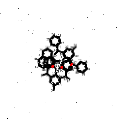 Cc1cc(C(C)c2ccccc2)c(N2C(=N)N(c3c(C(C)c4ccccc4)cc(C)cc3C(C)c3ccccc3)C3c4cccc5cccc(c45)C32)c(C(C)c2ccccc2)c1